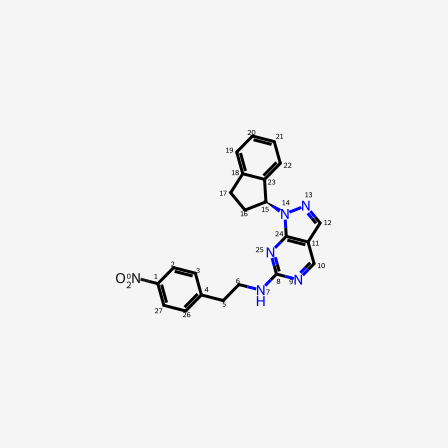 O=[N+]([O-])c1ccc(CCNc2ncc3cnn([C@H]4CCc5ccccc54)c3n2)cc1